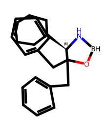 B1N[C@H](C2CCCCC2)C(Cc2ccccc2)(Cc2ccccc2)O1